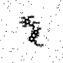 CCCCC[C@H](CC[C@H]1[C@@H]2Cc3cccc(OCC(=O)O)c3C[C@@H]2C[C@@H]1O)O[C@@H]1O[C@H](CO)[C@H](O)[C@H](O)[C@H]1O